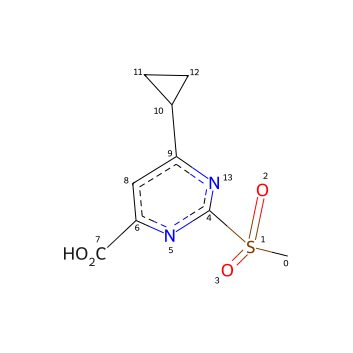 CS(=O)(=O)c1nc(C(=O)O)cc(C2CC2)n1